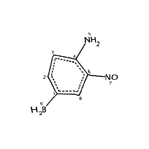 Bc1ccc(N)c(N=O)c1